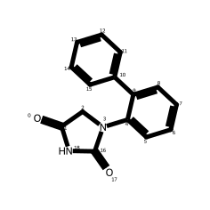 O=C1CN(c2ccccc2-c2ccccc2)C(=O)N1